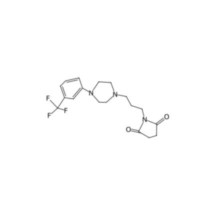 O=C1CCC(=O)N1CCCN1CCN(c2cccc(C(F)(F)F)c2)CC1